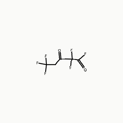 O=C(F)C(F)(F)C(=O)CC(F)(F)F